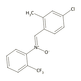 Cc1cc(Cl)ccc1C=[N+]([O-])c1ccccc1C(F)(F)F